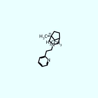 CC1(C)C2CC[C@@]1(C)CN(CCc1ccccn1)C2